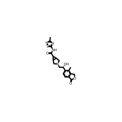 Cc1nsc(NC(=O)C2C3CN(C[C@H](O)c4ccc5c(c4C)COC5=O)CC32)n1